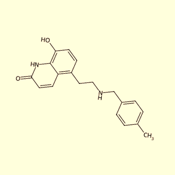 Cc1ccc(CNCCc2ccc(O)c3[nH]c(=O)ccc23)cc1